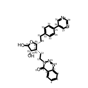 O=c1c2ccccc2nnn1CC[C@@H]1[C@H](O)C(O)O[C@@H]1CCc1ccc(-c2cncnc2)cc1